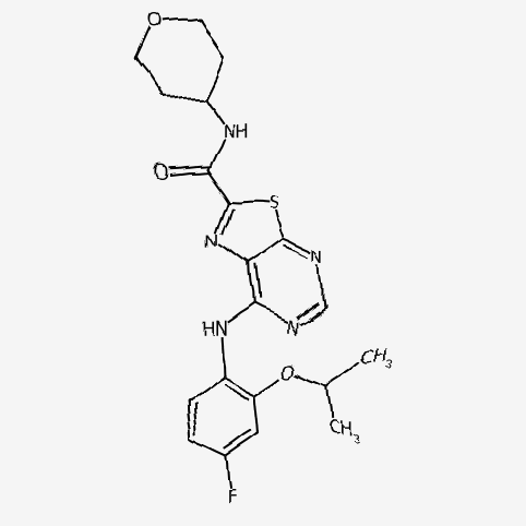 CC(C)Oc1cc(F)ccc1Nc1ncnc2sc(C(=O)NC3CCOCC3)nc12